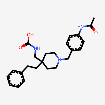 CC(=O)Nc1ccc(CN2CCC(CCc3ccccc3)(CNC(=O)O)CC2)cc1